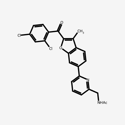 CC(=O)NCc1cccc(-c2ccc3c(C)c(C(=O)c4ccc(Cl)cc4Cl)oc3c2)n1